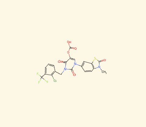 Cn1c(=O)sc2cc(-n3cc(OC(=O)O)c(=O)n(Cc4cccc(C(F)(F)F)c4Cl)c3=O)ccc21